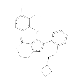 Cc1c(Cl)cccc1Nc1c(-c2ccncc2OC[C@H]2CCO2)[nH]c2c1C(=O)NCC2